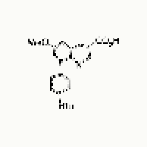 COc1cc(-c2ccc(C(C)(C)C)cc2)c2ncc(C(=O)O)cc2c1